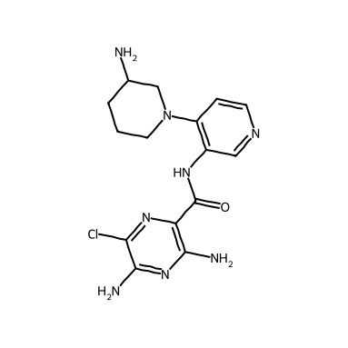 Nc1nc(N)c(C(=O)Nc2cnccc2N2CCCC(N)C2)nc1Cl